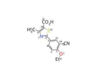 CCOc1ccc(-c2nc(C)c(C(=O)O)s2)cc1C#N